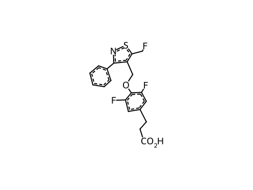 O=C(O)CCc1cc(F)c(OCc2c(-c3ccccc3)nsc2CF)c(F)c1